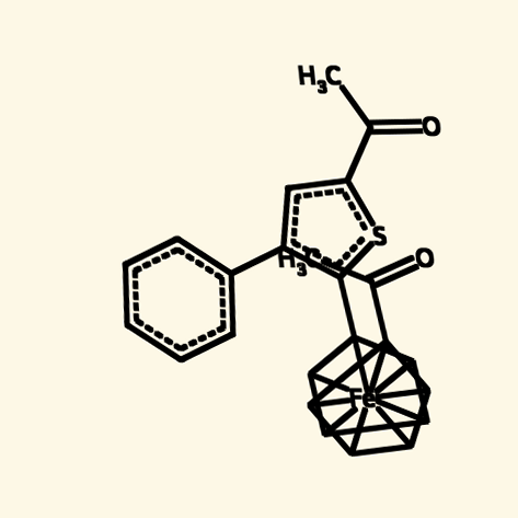 CC(=O)c1cc(-c2ccccc2)c([C]23[CH]4[CH]5[CH]6[CH]2[Fe]56432789[CH]3[CH]2[CH]7[C]8(C(C)=O)[CH]39)s1